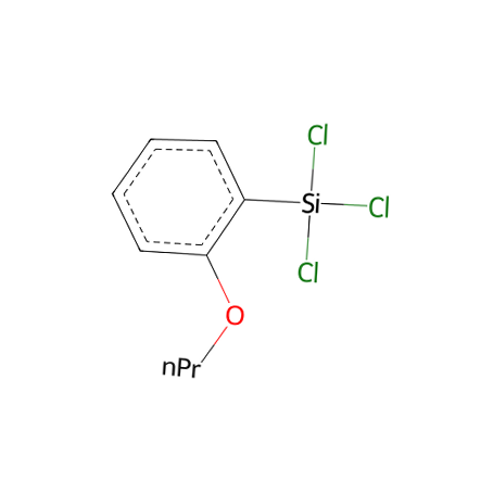 CCCOc1ccccc1[Si](Cl)(Cl)Cl